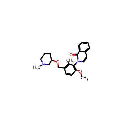 COc1ccc(COC2CCCN(C)C2)c(C)c1-n1ccc2ccccc2c1=O